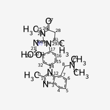 Cc1nc2cccc(CN(C)C)c2n1-c1ccc(N2/C(=N\C(=O)O)N(C)C(=O)C[C@@H]2C)cc1